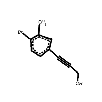 Cc1cc(C#CCO)ccc1Br